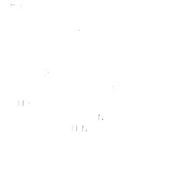 CCCC(=O)CC[C@@H](CC(C)=O)C(=O)N(N)CCc1ccccc1